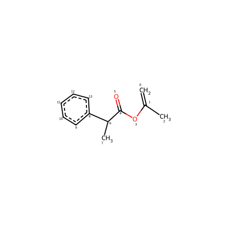 C=C(C)OC(=O)C(C)c1ccccc1